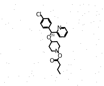 CCCC(=O)ON1CCC(O[C@@H](c2ccc(Cl)cc2)c2ccccn2)CC1